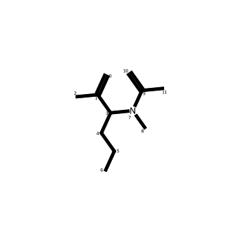 C=C(C)C(CCC)N(C)C(=C)C